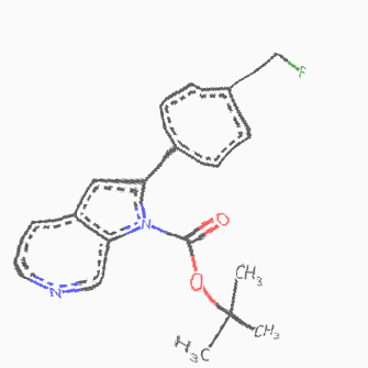 CC(C)(C)OC(=O)n1c(-c2ccc(CF)cc2)cc2ccncc21